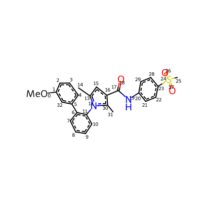 COc1cccc(-c2ccccc2-n2c(C)cc(C(=O)Nc3ccc(S(C)(=O)=O)cc3)c2C)c1